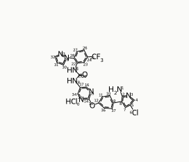 Cl.Nc1ncc(Cl)cc1-c1ccc(Oc2ncc(NC(=O)Nc3cc(C(F)(F)F)ccc3-n3cccn3)cn2)cc1